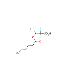 CC(C)CCCCC(=O)OC(C(F)(F)F)C(F)(F)S(=O)(=O)O